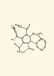 Cc1ccccc1-c1c(C)c(C(=O)O)c(C(=O)O)c(C(=O)O)c1C(=O)O